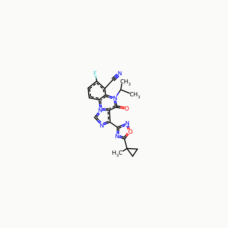 CC(C)n1c(=O)c2c(-c3noc(C4(C)CC4)n3)ncn2c2ccc(F)c(C#N)c21